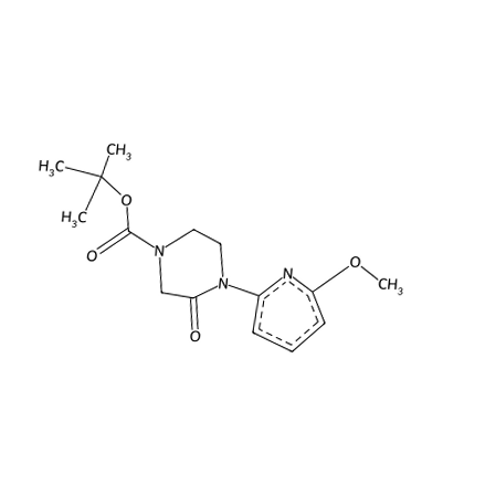 COc1cccc(N2CCN(C(=O)OC(C)(C)C)CC2=O)n1